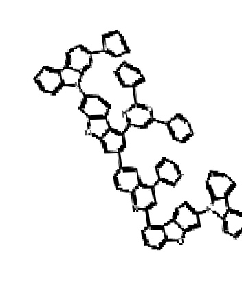 c1ccc(-c2ccc3c4ccccc4n(-c4ccc5c(c4)oc4cc(-c6ccc7nc(-c8cccc9oc%10cc(-n%11c%12ccccc%12c%12ccccc%12%11)ccc%10c89)cc(-c8ccccc8)c7c6)cc(-c6cc(-c7ccccc7)nc(-c7ccccc7)n6)c45)c3c2)cc1